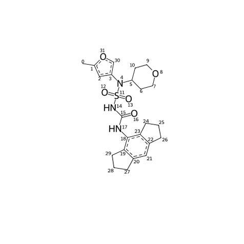 Cc1cc(N(C2CCOCC2)S(=O)(=O)NC(=O)Nc2c3c(cc4c2CCC4)CCC3)co1